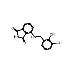 O=C1NC(=O)c2c(NCc3cccc(O)c3O)cccc21